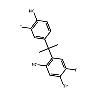 CC(C)c1cc(C#N)c(C(C)(C)c2ccc(C#N)c(F)c2)cc1F